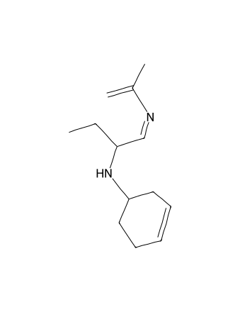 C=C(C)/N=C\C(CC)NC1CC=CCC1